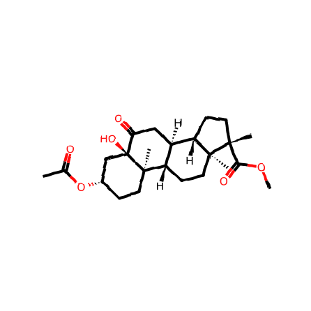 COC(=O)[C@@]1(C)CC[C@H]2[C@@H]3CC(=O)[C@@]4(O)C[C@@H](OC(C)=O)CC[C@]4(C)[C@H]3CC[C@@]21C